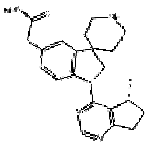 CNC(=O)Cc1ccc2c(c1)C1(CCNCC1)CN2c1ncnc2c1[C@H](C)CC2